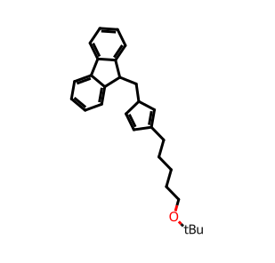 CC(C)(C)OCCCCCC1=CC(CC2c3ccccc3-c3ccccc32)C=C1